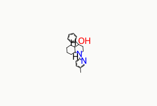 Cc1ccc(N2CC[C@](O)(c3ccccc3)[C@H]3CCCC[C@H]32)nc1